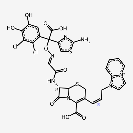 Nc1nc(C(ON=CC(=O)N[C@H]2C(=O)N3C(C(=O)O)=C(/C=C\Cn4cc[n+]5ccccc45)CSC23)(C(=O)O)c2cc(O)c(O)c(Cl)c2Cl)cs1